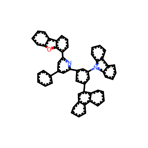 c1ccc(-c2cc(-c3cc(-c4cc5ccccc5c5ccccc45)cc(-n4c5ccccc5c5ccccc54)c3)nc(-c3cccc4c3oc3ccccc34)c2)cc1